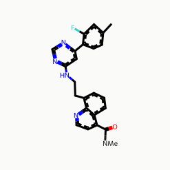 CNC(=O)c1ccnc2c(CCNc3cc(-c4ccc(C)cc4F)ncn3)cccc12